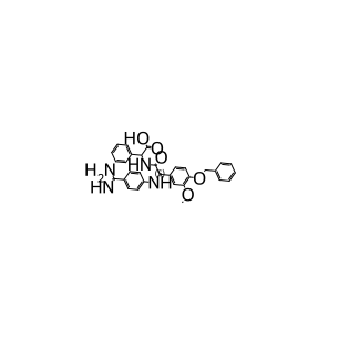 COc1cc([C@H](Nc2ccc(C(=N)N)cc2)C(=O)NC(C(=O)O)c2ccccc2)ccc1OCc1ccccc1